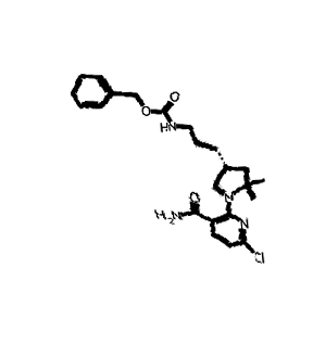 CC1(C)C[C@@H](CCCNC(=O)OCc2ccccc2)CN1c1nc(Cl)ccc1C(N)=O